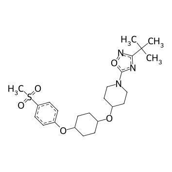 CC(C)(C)c1noc(N2CCC(OC3CCC(Oc4ccc(S(C)(=O)=O)cc4)CC3)CC2)n1